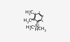 Cc1cccc([SH](C)C)c1C